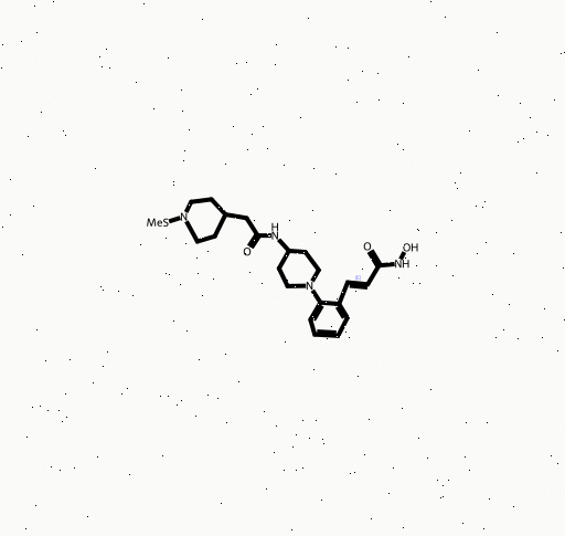 CSN1CCC(CC(=O)NC2CCN(c3ccccc3/C=C/C(=O)NO)CC2)CC1